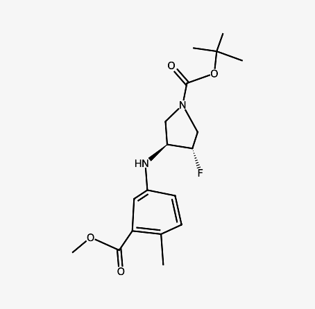 COC(=O)c1cc(N[C@H]2CN(C(=O)OC(C)(C)C)C[C@@H]2F)ccc1C